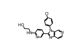 OCCNc1ccc(-c2nc3ccncc3n2-c2ccc(Cl)cc2)cn1